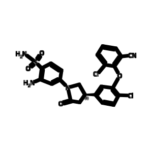 N#Cc1cccc(Cl)c1Oc1cc([C@H]2CC(=O)N(c3ccc(S(N)(=O)=O)c(N)c3)C2)ccc1Cl